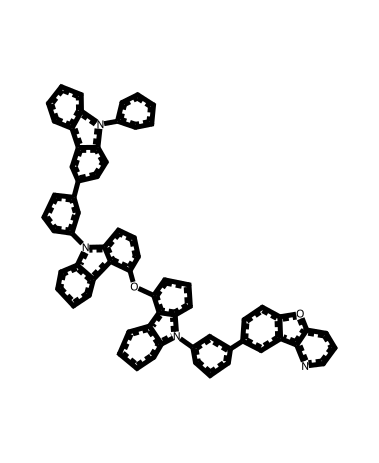 c1ccc(-n2c3ccccc3c3cc(-c4cccc(-n5c6ccccc6c6c(Oc7cccc8c7c7ccccc7n8-c7cccc(-c8ccc9oc%10cccnc%10c9c8)c7)cccc65)c4)ccc32)cc1